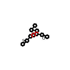 c1ccc(-c2ccccc2-c2c(-c3ccccc3)cccc2N(c2ccc(-c3ccc4c(c3)oc3ccccc34)cc2)c2ccc(-c3ccc4c(c3)sc3ccccc34)cc2)cc1